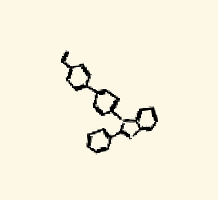 C=Cc1ccc(-c2ccc(-n3c(-c4ccccc4)nc4ccccc43)cc2)cc1